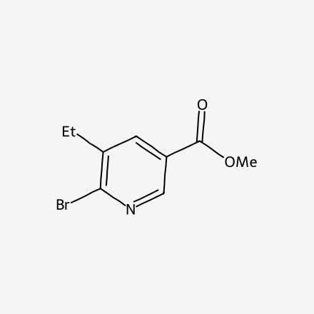 CCc1cc(C(=O)OC)cnc1Br